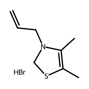 Br.C=CCN1CSC(C)=C1C